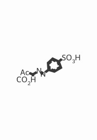 CC(=O)C(N=Nc1ccc(S(=O)(=O)O)cc1)C(=O)O